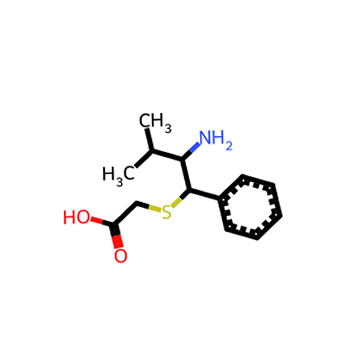 CC(C)C(N)C(SCC(=O)O)c1ccccc1